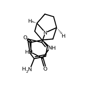 Nc1ccc(N2[C@@H]3CC[C@H]2CC2(C3)NC(=O)NC2=O)cc1